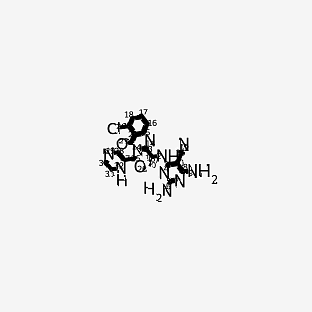 C[C@H](Nc1nc(N)nc(N)c1C#N)c1nc2cccc(Cl)c2c(=O)n1C(=O)C1=CN=CCN1